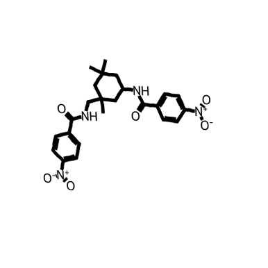 CC1(C)CC(NC(=O)c2ccc([N+](=O)[O-])cc2)CC(C)(CNC(=O)c2ccc([N+](=O)[O-])cc2)C1